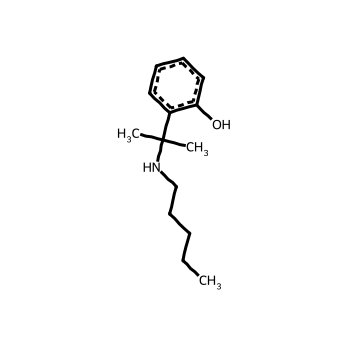 CCCCCNC(C)(C)c1ccccc1O